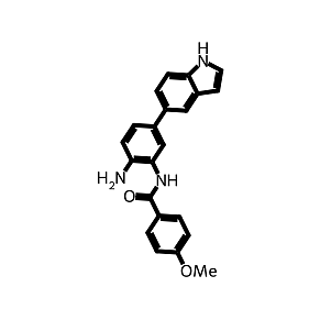 COc1ccc(C(=O)Nc2cc(-c3ccc4[nH]ccc4c3)ccc2N)cc1